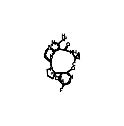 C[C@]12CCCN1c1ccn3nc(N)c(c3n1)C(=O)NC1(CC1)COc1ncc(F)cc12